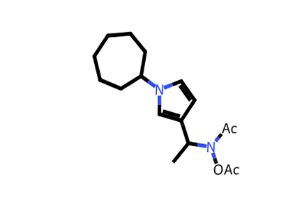 CC(=O)ON(C(C)=O)C(C)c1ccn(C2CCCCCC2)c1